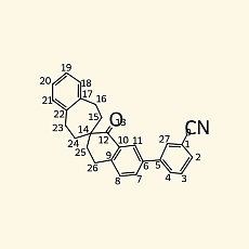 N#Cc1cccc(-c2ccc3c(c2)C(=O)C2(CCc4ccccc4CC2)CC3)c1